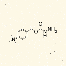 C[N+](C)(C)c1ccc(COC(=O)NN)cc1